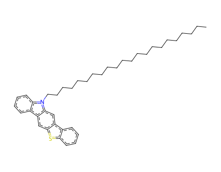 CCCCCCCCCCCCCCCCCCCCCCn1c2ccccc2c2cc3sc4ccccc4c3cc21